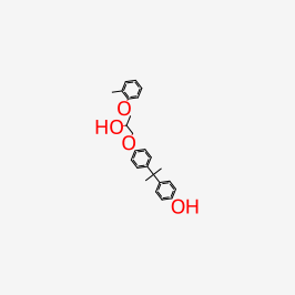 Cc1ccccc1OCC(O)COc1ccc(C(C)(C)c2ccc(O)cc2)cc1